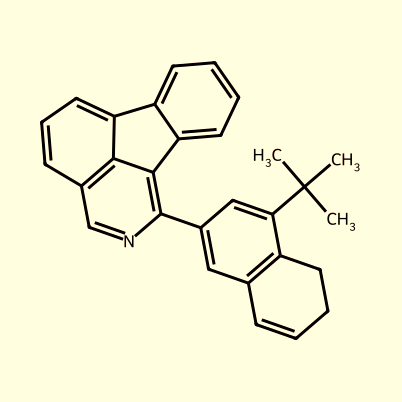 CC(C)(C)c1cc(-c2ncc3cccc4c3c2-c2ccccc2-4)cc2c1CCC=C2